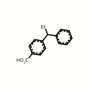 CCC(c1ccccc1)c1ccc(C(=O)O)cc1